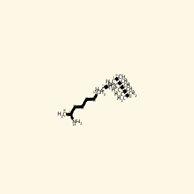 C=C.C=C.C=C.C=C.C=C.C=C.CCCCCC(C)N